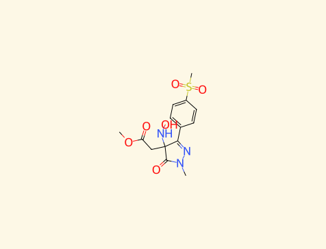 COC(=O)CC1(NO)C(=O)N(C)N=C1c1ccc(S(C)(=O)=O)cc1